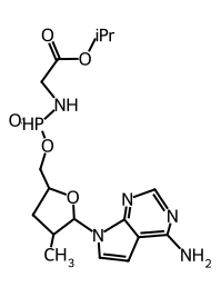 CC(C)OC(=O)CN[PH](=O)OCC1CC(C)C(n2ccc3c(N)ncnc32)O1